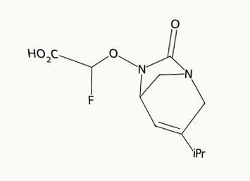 CC(C)C1=CC2CN(C1)C(=O)N2OC(F)C(=O)O